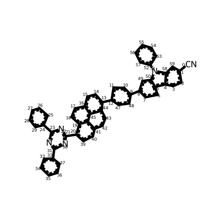 N#Cc1ccc2c3ccc(-c4ccc(-c5ccc6ccc7c(-c8nc(-c9ccccc9)nc(-c9ccccc9)n8)ccc8ccc5c6c87)cc4)cc3n(-c3ccccc3)c2c1